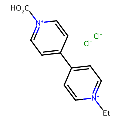 CC[n+]1ccc(-c2cc[n+](C(=O)O)cc2)cc1.[Cl-].[Cl-]